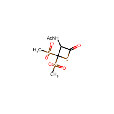 CC(=O)NC1C(=O)SC1(S(C)(=O)=O)S(C)(=O)=O